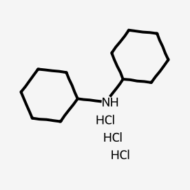 C1CCC(NC2CCCCC2)CC1.Cl.Cl.Cl